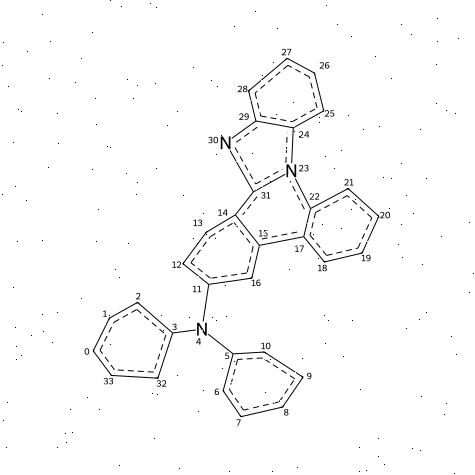 c1ccc(N(c2ccccc2)c2ccc3c(c2)c2ccccc2n2c4ccccc4nc32)cc1